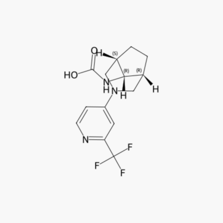 O=C(O)N[C@H]1[C@@H]2CC[C@H]1CN(c1ccnc(C(F)(F)F)c1)C2